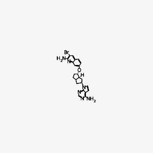 Nc1nc2cc(O[C@H]3CCC4C[C@H](n5ccc6c(N)ncnc65)C[C@@H]43)ccc2cc1Br